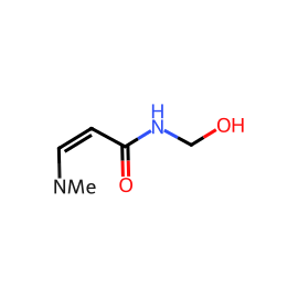 CN/C=C\C(=O)NCO